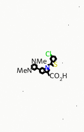 CNc1cc(NC)cc(-c2ccc3c(CC(=O)O)cn(Cc4csc5ccc(Cl)cc45)c3c2)c1